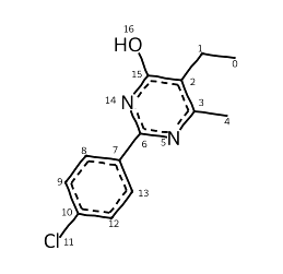 CCc1c(C)nc(-c2ccc(Cl)cc2)nc1O